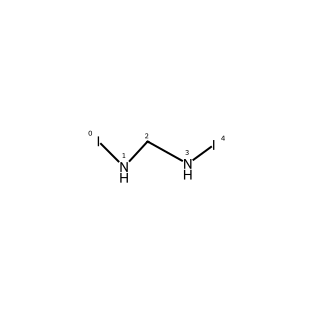 INCNI